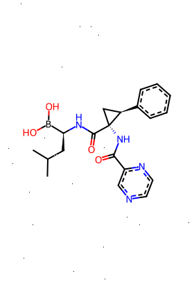 CC(C)C[C@H](NC(=O)[C@@]1(NC(=O)c2cnccn2)C[C@H]1c1ccccc1)B(O)O